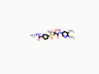 CNC(=O)c1ccc(S(=O)(=O)C[C@](C)(O)C(=O)Nc2cnc(C)c(C)c2)cc1